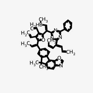 C=C/C=C(\C=C/C)c1nc(/C(=C/BC)c2oc(/C(=C\C)c3ccc4c(c3)C(C)(C)c3ccc5ncoc5c3-4)c(C=C)c2C=C)nc(-c2ccccc2)n1